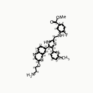 COC(=O)c1ccc(F)c(NCc2nc(-c3cccc(C)n3)c(-c3ccc4ncc(OCCN)nc4c3)[nH]2)c1